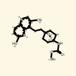 CC(C)(C)OC(=O)NC12CCC(CCc3c(C#N)cnc4ccc(O)nc34)(CC1)OC2